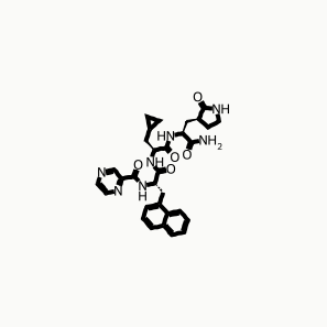 NC(=O)[C@H](C[C@@H]1CCNC1=O)NC(=O)[C@H](CC1CC1)NC(=O)[C@H](Cc1cccc2ccccc12)NC(=O)c1cnccn1